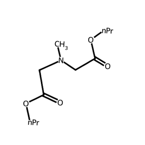 CCCOC(=O)CN(C)CC(=O)OCCC